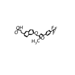 Cc1oc(-c2ccc(C(F)(F)F)cc2)cc1COc1ccc2cc(CCC(=O)O)ccc2c1